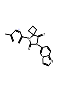 C=C(C)/C=C\C(=C)N1C(=S)N(c2ccc3nccn3c2)C(=O)C12CCC2